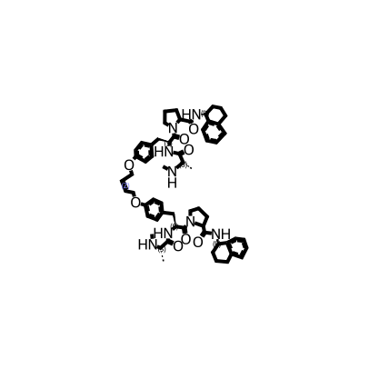 CN[C@@H](C)C(=O)N[C@@H](Cc1ccc(OC/C=C\COc2ccc(C[C@H](NC(=O)[C@H](C)NC)C(=O)N3CCCC3C(=O)N[C@@H]3CCCc4ccccc43)cc2)cc1)C(=O)N1CCCC1C(=O)N[C@@H]1CCCc2ccccc21